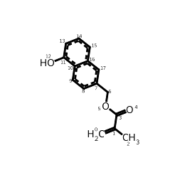 C=C(C)C(=O)OCc1ccc2c(O)cccc2c1